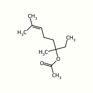 CCC(C)(CCC=C(C)C)OC(C)=O